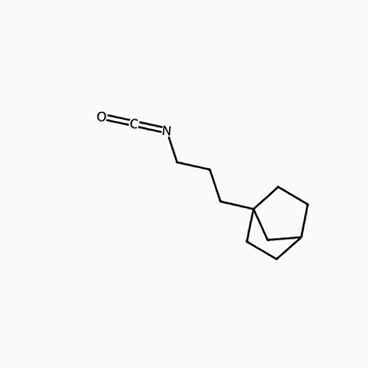 O=C=NCCCC12CCC(CC1)C2